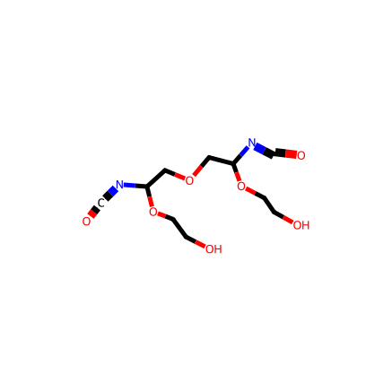 O=C=NC(COCC(N=C=O)OCCO)OCCO